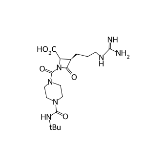 CC(C)(C)NC(=O)N1CCN(C(=O)N2C(=O)[C@H](CCCNC(=N)N)C2C(=O)O)CC1